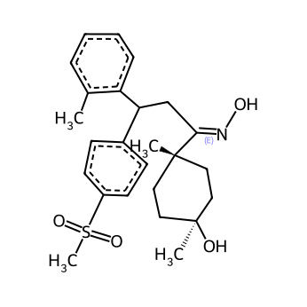 Cc1ccccc1C(C/C(=N\O)[C@]1(C)CC[C@@](C)(O)CC1)c1ccc(S(C)(=O)=O)cc1